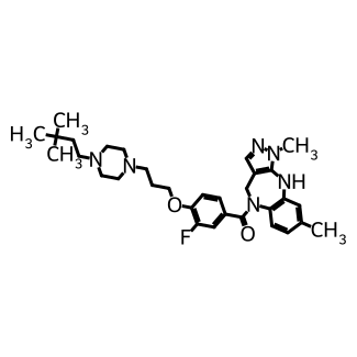 Cc1ccc2c(c1)Nc1c(cnn1C)CN2C(=O)c1ccc(OCCCN2CCN(CCC(C)(C)C)CC2)c(F)c1